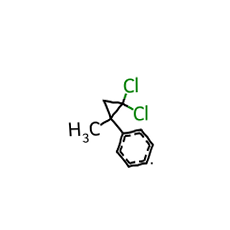 CC1(c2cc[c]cc2)CC1(Cl)Cl